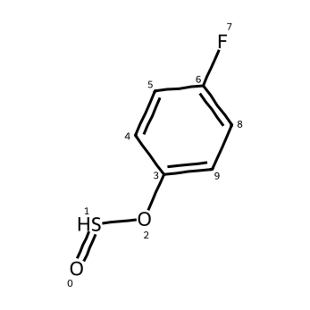 O=[SH]Oc1ccc(F)cc1